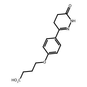 O=C(O)CCCOc1ccc(C2=NNC(=O)CC2)cc1